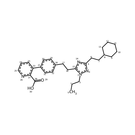 CCCn1nc(CCC2CCCCC2)nc1CCc1ccc(-c2cccnc2C(=O)O)cc1